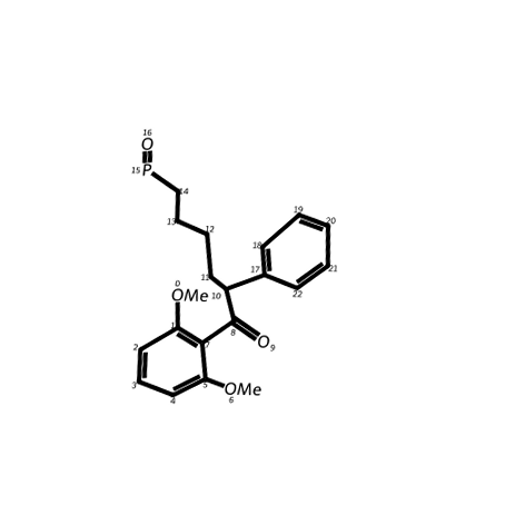 COc1cccc(OC)c1C(=O)C(CCCCP=O)c1ccccc1